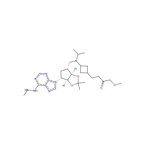 CBNc1ncnc2c1ncn2[C@@H]1C[C@H](CN(C(C)C)C2CC(CCC(=O)COC)C2)[C@H]2OC(C)(C)O[C@H]21